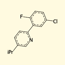 CC(C)c1ccc(-c2cc(Cl)ccc2F)nc1